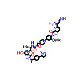 COc1cc(N2CCC3(CC2)C[C@H](C(=O)N[C@@H](C(=O)N2C[C@@H](O)C[C@@H]2C(=O)N[C@H](C)c2ccc(-c4ccnn4C)cc2)C(C)(C)C)O3)ccc1NC(=O)c1cccc(/C(N)=C/C=N)n1